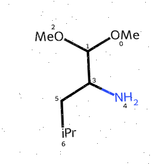 COC(OC)C(N)CC(C)C